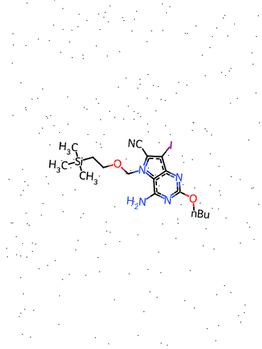 CCCCOc1nc(N)c2c(n1)c(I)c(C#N)n2COCC[Si](C)(C)C